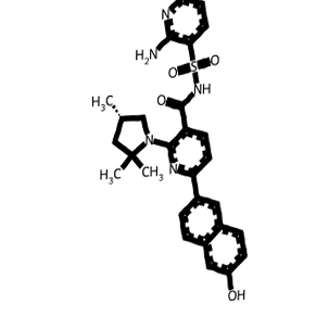 C[C@@H]1CN(c2nc(-c3ccc4cc(O)ccc4c3)ccc2C(=O)NS(=O)(=O)c2cccnc2N)C(C)(C)C1